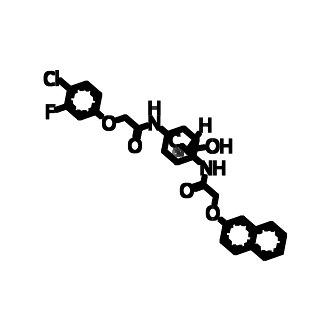 O=C(COc1ccc(Cl)c(F)c1)NC12CCC(NC(=O)COc3ccc4ccccc4c3)(CC1)[C@@H](O)C2